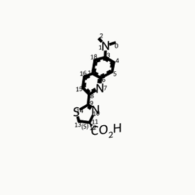 CN(C)c1ccc2nc(C3=N[C@@H](C(=O)O)CS3)ccc2c1